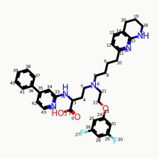 O=C(O)C(CCN(CCCCc1ccc2c(n1)NCCC2)CCOc1cc(F)cc(F)c1)Nc1cc(-c2ccccc2)ccn1